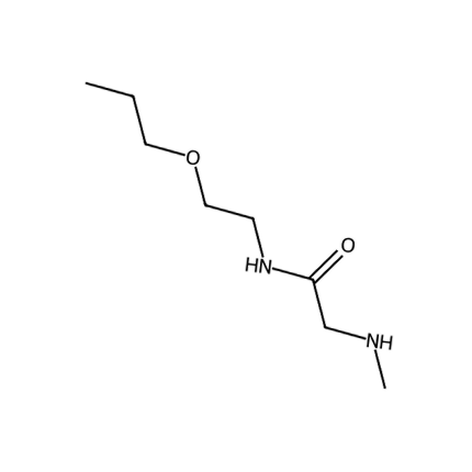 CCCOCCNC(=O)CNC